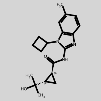 CC(C)(O)[C@H]1C[C@@H]1C(=O)Nc1nc2ccc(C(F)(F)F)cc2n1C1CCC1